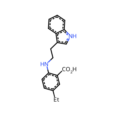 CCc1ccc(NCCc2c[nH]c3ccccc23)c(C(=O)O)c1